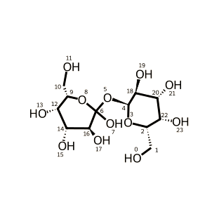 OC[C@@H]1O[C@@H](OC2(O)O[C@@H](CO)[C@@H](O)[C@@H](O)[C@@H]2O)[C@@H](O)[C@H](O)[C@@H]1O